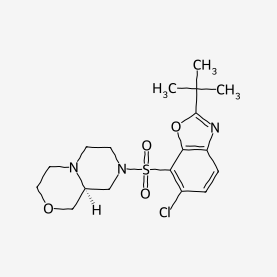 CC(C)(C)c1nc2ccc(Cl)c(S(=O)(=O)N3CCN4CCOC[C@@H]4C3)c2o1